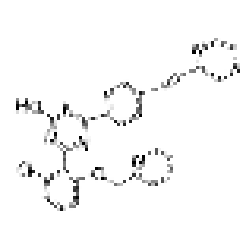 Oc1nc(-c2ccc(C#Cc3ccccn3)cc2)nc(-c2c(Cl)cccc2OCc2ccccn2)n1